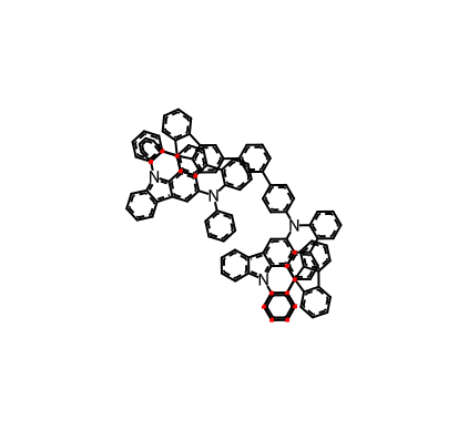 c1ccc(-c2ccc(-c3ccccc3N(c3ccc(-c4cccc(-c5ccc6c(c5)-c5ccccc5C65c6ccccc6-n6c7ccccc7c7cc(N(c8ccccc8)c8ccccc8-c8ccc(-c9ccccc9)cc8)cc5c76)c4)cc3)c3cc4c5c(c3)c3ccccc3n5-c3ccccc3C43c4ccccc4-c4ccccc43)cc2)cc1